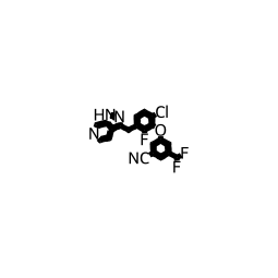 N#Cc1cc(Oc2c(Cl)ccc(Cc3n[nH]c4cnccc34)c2F)cc(C(F)F)c1